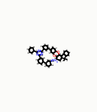 CC1(C)c2ccccc2-c2c1ccc1c2Oc2ccc(-c3cccc(-c4nc(-c5ccccc5)nc(-c5cccc(-c6cccc(N)c6)c5)n4)c3)cc2O1